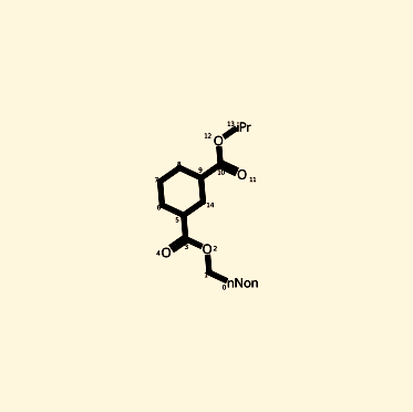 CCCCCCCCCCOC(=O)C1CCCC(C(=O)OC(C)C)C1